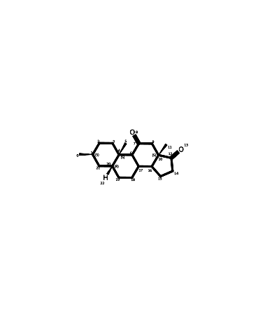 C[C@H]1CC[C@]2(C)C3C(=O)C[C@]4(C)C(=O)CCC4C3CC[C@@H]2C1